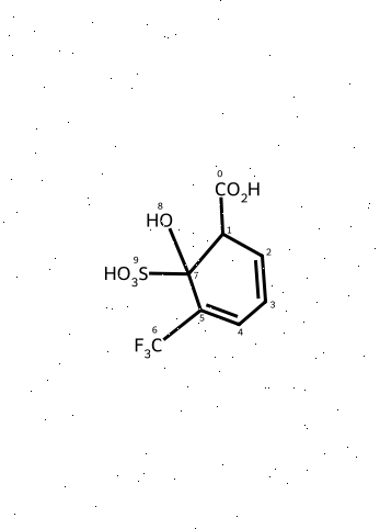 O=C(O)C1C=CC=C(C(F)(F)F)C1(O)S(=O)(=O)O